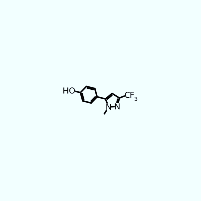 Cn1nc(C(F)(F)F)cc1-c1ccc(O)cc1